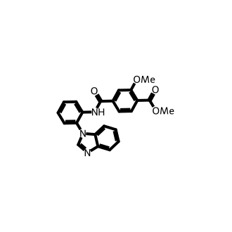 COC(=O)c1ccc(C(=O)Nc2ccccc2-n2cnc3ccccc32)cc1OC